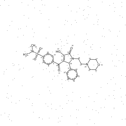 CN(C)S(=O)(=O)c1ccc(C(=O)C2=C(O)C(=O)N(CCN3CCOCC3)C2c2ccccc2)cc1